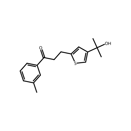 Cc1cccc(C(=O)CCc2cc(C(C)(C)O)cs2)c1